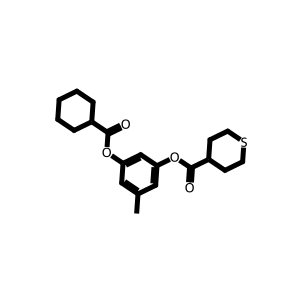 Cc1cc(OC(=O)C2CCCCC2)cc(OC(=O)C2CCSCC2)c1